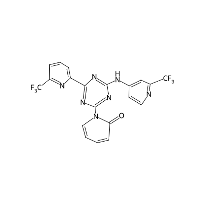 O=c1ccccn1-c1nc(Nc2ccnc(C(F)(F)F)c2)nc(-c2cccc(C(F)(F)F)n2)n1